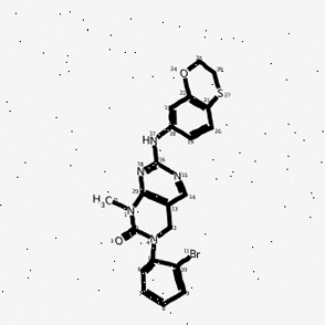 CN1C(=O)N(c2ccccc2Br)Cc2cnc(Nc3ccc4c(c3)OCCS4)nc21